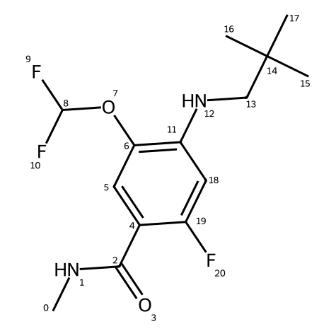 CNC(=O)c1cc(OC(F)F)c(NCC(C)(C)C)cc1F